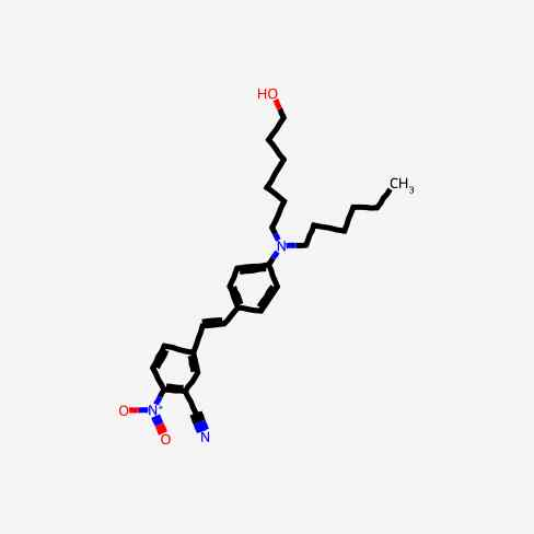 CCCCCCN(CCCCCCO)c1ccc(C=Cc2ccc([N+](=O)[O-])c(C#N)c2)cc1